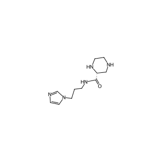 O=C(NCCCn1ccnc1)[C@H]1CNCCN1